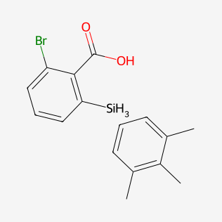 Cc1cccc(C)c1C.O=C(O)c1c([SiH3])cccc1Br